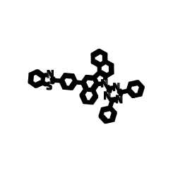 c1ccc(-c2nc(-c3ccccc3)nc(-n3c4ccc5ccccc5c4c4cc(-c5ccc(-c6nc7ccccc7s6)cc5)c5ccccc5c43)n2)cc1